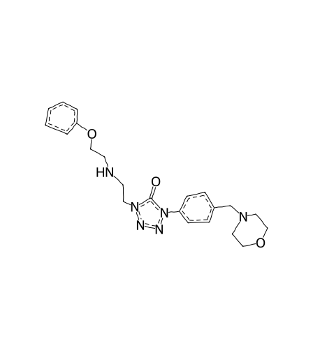 O=c1n(CCNCCOc2ccccc2)nnn1-c1ccc(CN2CCOCC2)cc1